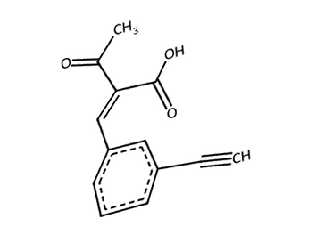 C#Cc1cccc(/C=C(/C(C)=O)C(=O)O)c1